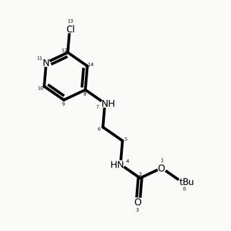 CC(C)(C)OC(=O)NCCNc1ccnc(Cl)c1